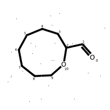 O=[C]C1CCCCCCCO1